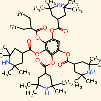 CC(C)CC(CC(C)C)C(=O)Oc1c(OC(=O)C2CC(C)(C)NC(C)(C)C2)cc(OC(=O)C2CC(C)(C)NC(C)(C)C2)c(OC(=O)C2CC(C)(C)NC(C)(C)C2)c1OC(=O)C1CC(C)(C)NC(C)(C)C1